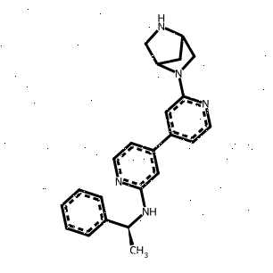 C[C@H](Nc1cc(-c2ccnc(N3CC4CC3CN4)c2)ccn1)c1ccccc1